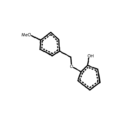 COc1ccc(COc2ccccc2O)cc1